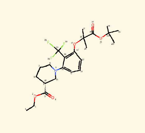 CCOC(=O)[C@@H]1CCCN(c2cccc(OC(C)(C)C(=O)OC(C)(C)C)c2C(F)(F)F)C1